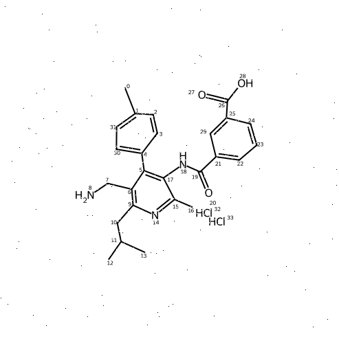 Cc1ccc(-c2c(CN)c(CC(C)C)nc(C)c2NC(=O)c2cccc(C(=O)O)c2)cc1.Cl.Cl